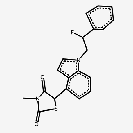 CN1C(=O)SC(c2cccc3c2ccn3CC(F)c2ccccc2)C1=O